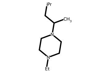 CCN1CCN(C(C)CC(C)C)CC1